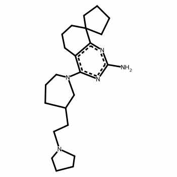 Nc1nc(N2CCCC(CCN3CCCC3)C2)c2c(n1)C1(CCCC1)CCC2